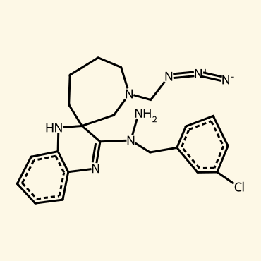 [N-]=[N+]=NCN1CCCCC2(C1)Nc1ccccc1N=C2N(N)Cc1cccc(Cl)c1